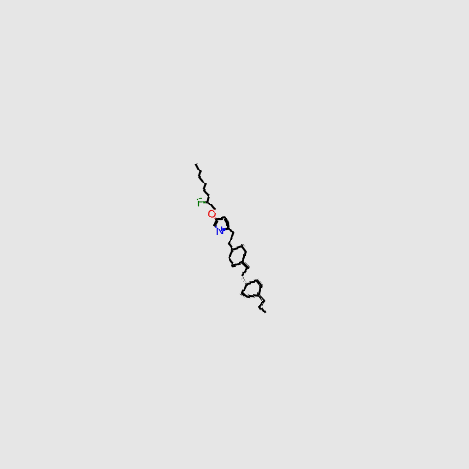 CCCCCCC(F)COc1ccc(CCC2CCC(CC[C@H]3CC[C@H](CCC)CC3)CC2)nc1